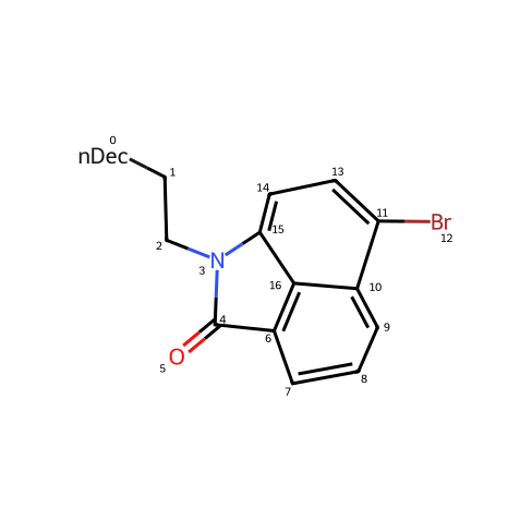 CCCCCCCCCCCCN1C(=O)c2cccc3c(Br)ccc1c23